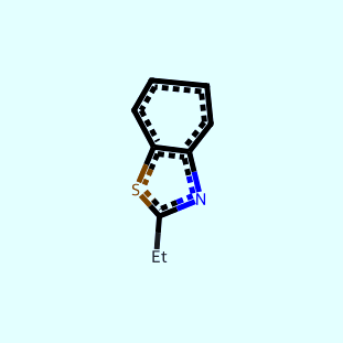 [CH2]Cc1nc2ccccc2s1